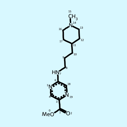 COC(=O)c1cnc(NCCCC2CCN(C)CC2)cn1